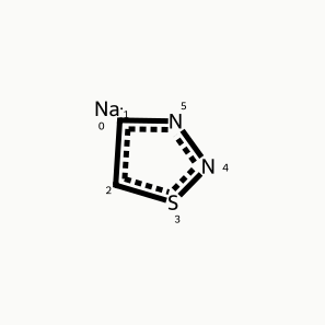 [Na].c1csnn1